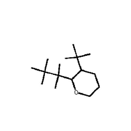 CC(C)(C)C1CCCOC1C(C)(C)C(C)(C)C